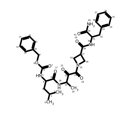 CC(C)CC(NC(=O)OCc1ccccc1)C(=O)NC(C)C(=O)C(=O)N1CC(C(=O)NC(Cc2ccccc2)C(N)=O)C1